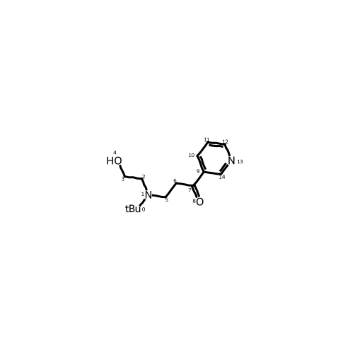 CC(C)(C)N(CCO)CCC(=O)c1cccnc1